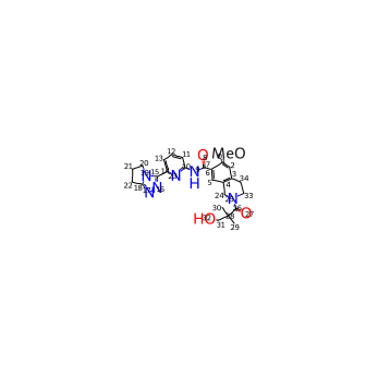 COc1cc2c(cc1C(=O)Nc1cccc(-c3nnc4n3CCC4)n1)CN(C(=O)C(C)(C)CO)CC2